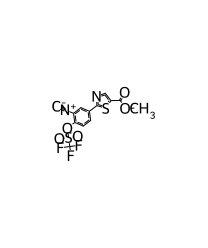 [C-]#[N+]c1cc(-c2ncc(C(=O)OC)s2)ccc1OS(=O)(=O)C(F)(F)F